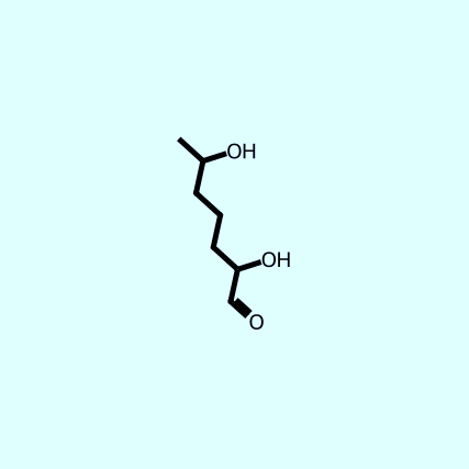 CC(O)CCCC(O)C=O